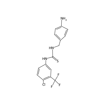 Nc1ccc(CNC(=S)Nc2ccc(Cl)c(C(F)(F)F)c2)cc1